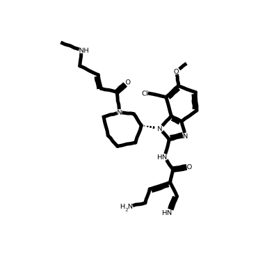 CNC/C=C/C(=O)N1CCCC[C@@H](n2c(NC(=O)/C(C=N)=C/CN)nc3ccc(OC)c(Cl)c32)C1